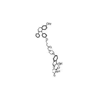 O=C(CCCOc1ccc([C@@H]2c3ccc(O)cc3CC[C@@H]2c2ccccc2)cc1)CN1CCN(c2ccc3c(c2)CN(C2CCC(=O)NC2=O)C3O)CC1